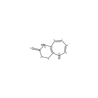 O=C1CCC2=C(C=CC=CN2)N1